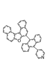 c1ccc2c(c1)ccc1oc3c(-c4c5ccccc5c(-c5ccncc5)c5ccccc45)cc4ccccc4c3c12